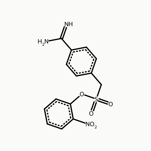 N=C(N)c1ccc(CS(=O)(=O)Oc2ccccc2[N+](=O)[O-])cc1